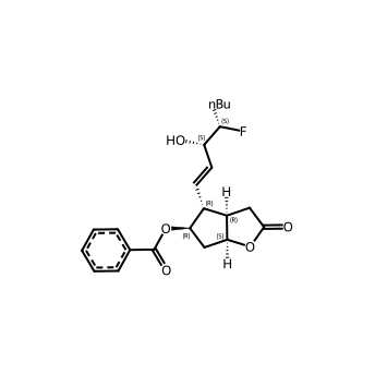 CCCC[C@H](F)[C@@H](O)C=C[C@@H]1[C@H]2CC(=O)O[C@H]2C[C@H]1OC(=O)c1ccccc1